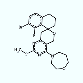 CSc1nc2c(c(N3CCCOCC3)n1)COC1(CCCc3ccc(Br)c(F)c31)C2